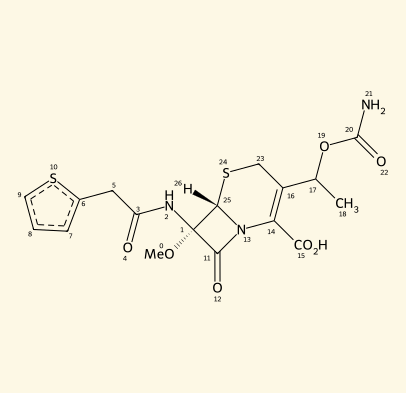 CO[C@@]1(NC(=O)Cc2cccs2)C(=O)N2C(C(=O)O)=C(C(C)OC(N)=O)CS[C@H]21